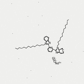 CCCCCCCCCCCCCCn1c(-c2cccc(-c3nc4ccccc4n3CCCCCCCCCCCCCC)n2)nc2ccccc21.[Cl-].[Cl-].[Cl-].[Nd+3]